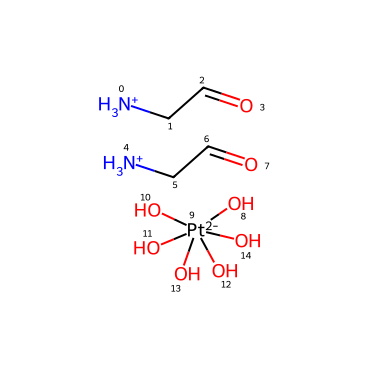 [NH3+]CC=O.[NH3+]CC=O.[OH][Pt-2]([OH])([OH])([OH])([OH])[OH]